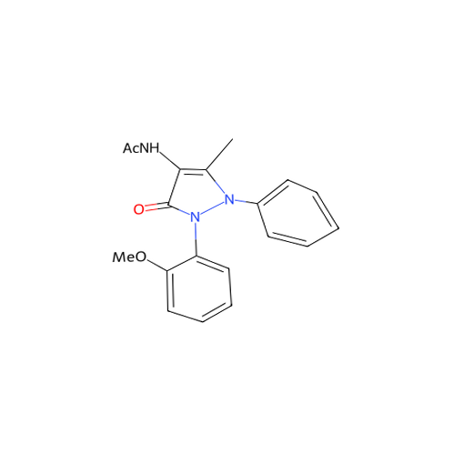 COc1ccccc1-n1c(=O)c(NC(C)=O)c(C)n1-c1ccccc1